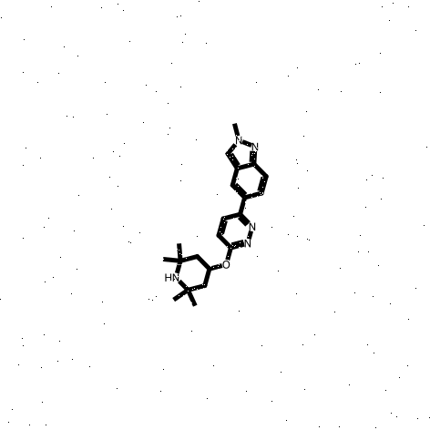 Cn1cc2cc(-c3ccc(OC4CC(C)(C)NC(C)(C)C4)nn3)ccc2n1